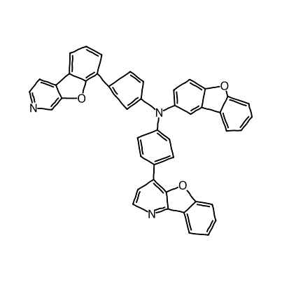 c1ccc2c(c1)oc1ccc(N(c3ccc(-c4cccc5c4oc4cnccc45)cc3)c3ccc(-c4ccnc5c4oc4ccccc45)cc3)cc12